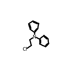 ClCCN(c1ccccc1)c1ccccc1